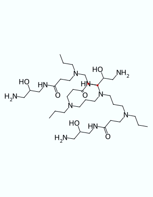 CCCN(CCCN(CCCN(CCC)CCC(=O)NCC(O)CN)CCCN(CCC)CCC(=O)NCC(O)CN)CCC(=O)NCC(O)CN